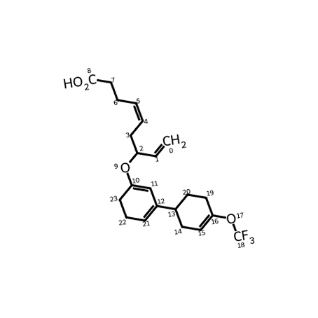 C=CC(C/C=C\CCC(=O)O)OC1=CC(C2CC=C(OC(F)(F)F)CC2)=CCC1